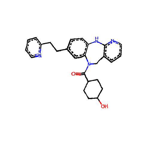 O=C(C1CCC(O)CC1)N1Cc2cccnc2Nc2ccc(CCc3ccccn3)cc21